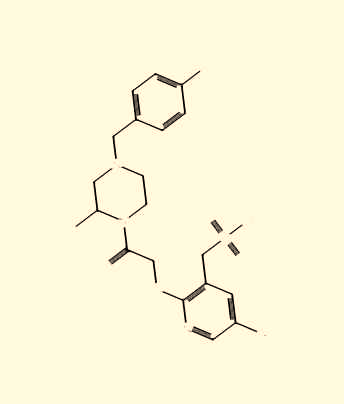 CC1CN(Cc2ccc(F)cc2)CCN1C(=O)COc1ncc(Br)cc1CS(=O)(=O)O